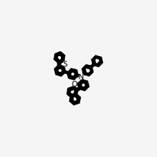 C1=CC(C2=CC=C(N(c3ccc(-c4cccc5c4sc4ccccc45)cc3)c3cccc4c3oc3ccc5ccccc5c34)CC2)=CCC1